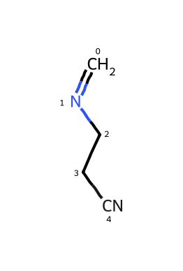 C=NCCC#N